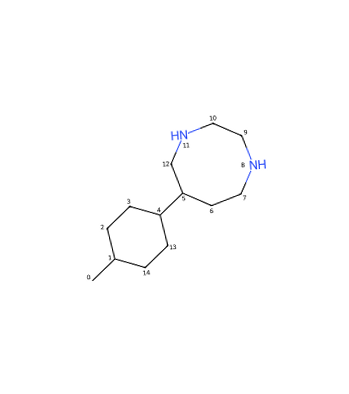 CC1CCC(C2CCNCCNC2)CC1